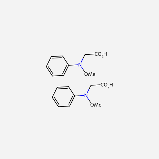 CON(CC(=O)O)c1ccccc1.CON(CC(=O)O)c1ccccc1